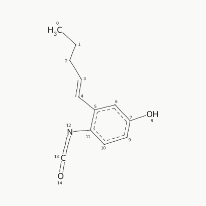 CCCC=Cc1cc(O)ccc1N=C=O